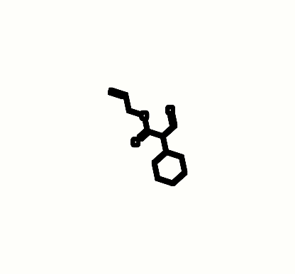 C=CCOC(=O)C(C=O)C1CCCCC1